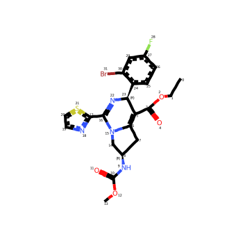 CCOC(=O)C1=C2C[C@@H](NC(=O)OC)CN2C(c2nccs2)=N[C@H]1c1ccc(F)cc1Br